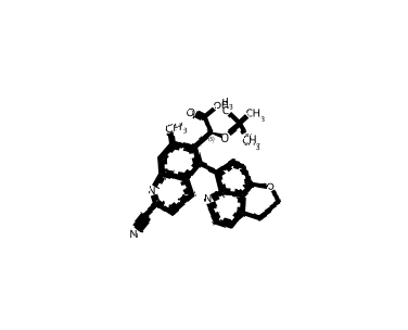 Cc1cc2nc(C#N)ccc2c(-c2ccc3c4c(ccnc24)CCO3)c1[C@H](OC(C)(C)C)C(=O)O